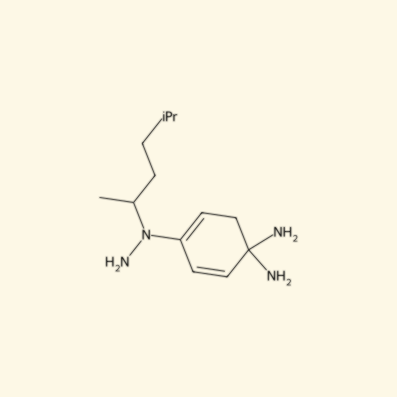 CC(C)CCC(C)N(N)C1=CCC(N)(N)C=C1